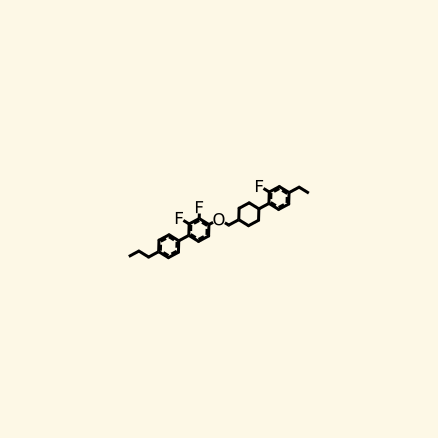 CCCc1ccc(-c2ccc(OCC3CCC(c4ccc(CC)cc4F)CC3)c(F)c2F)cc1